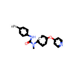 CCCc1ccc(NC(=O)N(C)c2ccc(Oc3ccncc3)cc2)cc1